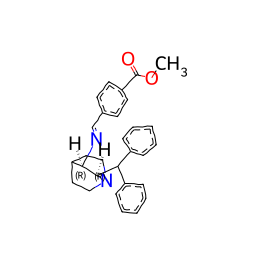 COC(=O)c1ccc(C=N[C@@H]2C3CCN(CC3)[C@@H]2C(c2ccccc2)c2ccccc2)cc1